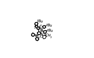 Cc1cc(C(C)(C)C)ccc1N1B2c3cc(C(C)(C)C)cc4c3N(c3cc(N(c5ccccc5)c5ccccc5)cc(c32)-c2cc3sc5ccc(C(C)(C)C)cc5c3cc21)C1(C)CCCCC41C